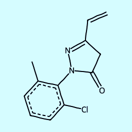 C=CC1=NN(c2c(C)cccc2Cl)C(=O)C1